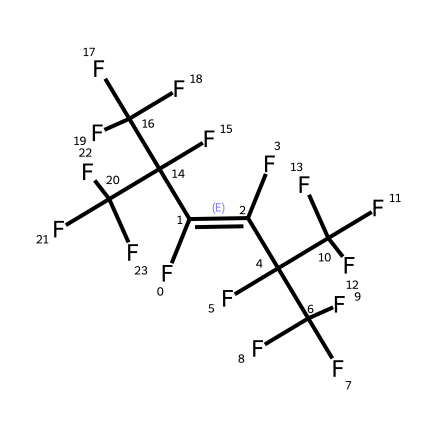 F/C(=C(/F)C(F)(C(F)(F)F)C(F)(F)F)C(F)(C(F)(F)F)C(F)(F)F